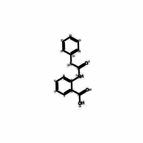 O=C(Nc1ccccc1C(=O)O)Sc1ccccc1